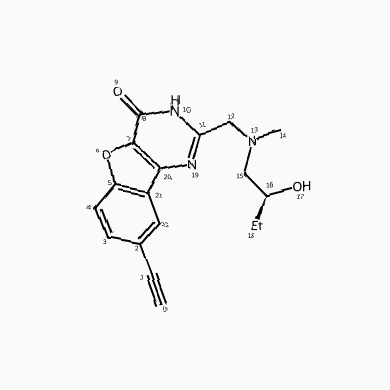 C#Cc1ccc2oc3c(=O)[nH]c(CN(C)C[C@@H](O)CC)nc3c2c1